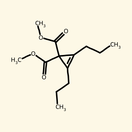 CCCC1=C(CCC)C1(C(=O)OC)C(=O)OC